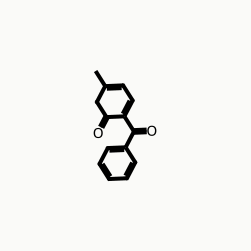 CC1=CC=C(C(=O)c2ccccc2)C(=O)C1